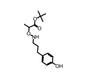 CC(ONCCCc1ccc(O)cc1)C(=O)OC(C)(C)C